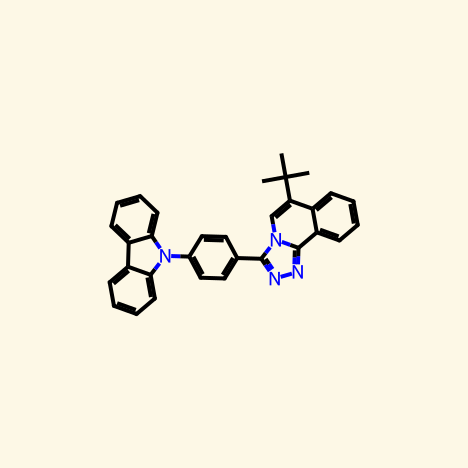 CC(C)(C)c1cn2c(-c3ccc(-n4c5ccccc5c5ccccc54)cc3)nnc2c2ccccc12